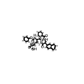 NC(=O)C(CNC(=O)C1CCCCN1C(=O)C(CSCP(=O)(O)O)NC(=O)Oc1ccccc1)c1ccc2ccccc2c1